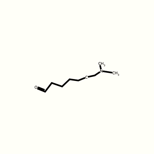 CN(C)CCCCCCC=O